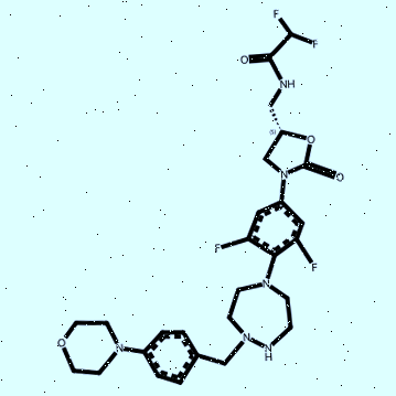 O=C(NC[C@H]1CN(c2cc(F)c(N3CCNN(Cc4ccc(N5CCOCC5)cc4)CC3)c(F)c2)C(=O)O1)C(F)F